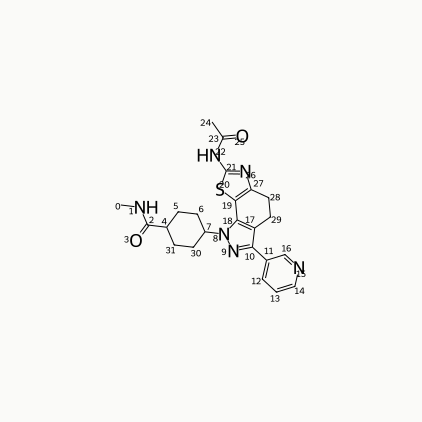 CNC(=O)C1CCC(n2nc(-c3cccnc3)c3c2-c2sc(NC(C)=O)nc2CC3)CC1